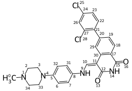 CN1CCN(c2ccc(N/C=C3\C(=O)NC(=O)c4ccc(-c5ccc(Cl)cc5Cl)cc43)cc2)CC1